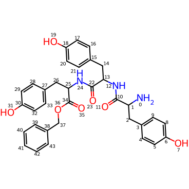 NC(Cc1ccc(O)cc1)C(=O)NC(Cc1ccc(O)cc1)C(=O)NC(Cc1ccc(O)cc1)C(=O)OCc1ccccc1